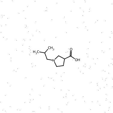 CC(C)CN1CCC(C(=O)O)C1